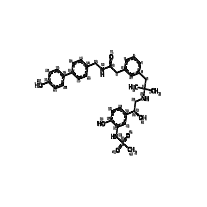 CC(C)(Cc1cccc(CC(=O)NCc2ccc(-c3ccc(O)cc3)cc2)c1)NC[C@@H](O)c1ccc(O)c(NS(C)(=O)=O)c1